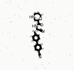 N#Cc1ccc(-c2ccc(C[C@@H](C#N)NC(=O)C3CNCCCO3)cc2)cc1